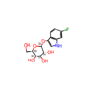 OC[C@H]1O[C@@H](Oc2c[nH]c3cc(F)ccc23)[C@H](O)[C@@H](O)[C@H]1O